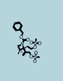 C=C(COS(C)(=O)=O)[C@]1(CCOS(C)(=O)=O)[C@@H](C)CN1C(=O)OCc1ccccc1